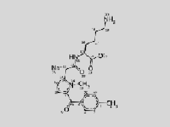 Cc1ccc(C(=O)c2ccc(CC(=O)N[C@@H](CCCCN)C(=O)[O-])n2C)cc1.[Na+]